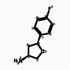 N[C@@H]1CO[C@H](c2ccc(F)cc2)C1